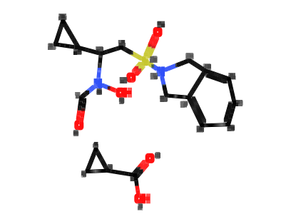 O=C(O)C1CC1.O=CN(O)C(CS(=O)(=O)N1Cc2ccccc2C1)C1CC1